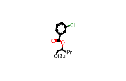 CC(C)COCC(OC(=O)c1cccc(Cl)c1)C(C)C